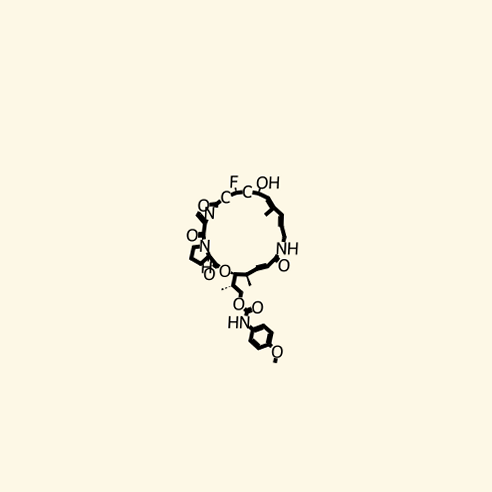 COc1ccc(NC(=O)OC[C@H](C)[C@H]2OC(=O)[C@H]3CCCN3C(=O)c3coc(n3)C[C@H](F)C[C@H](O)/C=C(C)/C=C/CNC(=O)/C=C/[C@H]2C)cc1